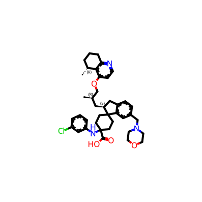 C[C@@H](COc1ccnc2c1[C@H](C)CCC2)C[C@H]1Cc2ccc(CN3CCOCC3)cc2C12CCC(Nc1cccc(Cl)c1)(C(=O)O)CC2